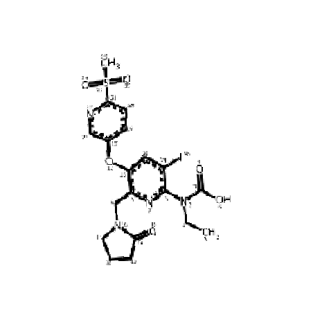 CCN(C(=O)O)c1nc(CN2CCCC2=O)c(Oc2ccc(S(C)(=O)=O)nc2)cc1I